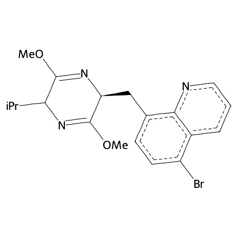 COC1=N[C@@H](Cc2ccc(Br)c3cccnc23)C(OC)=NC1C(C)C